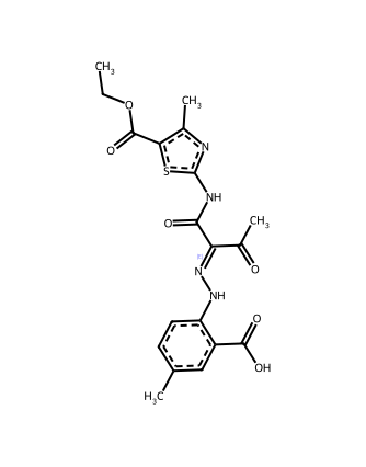 CCOC(=O)c1sc(NC(=O)/C(=N/Nc2ccc(C)cc2C(=O)O)C(C)=O)nc1C